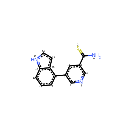 NC(=S)c1cncc(-c2cccc3[nH]ccc23)c1